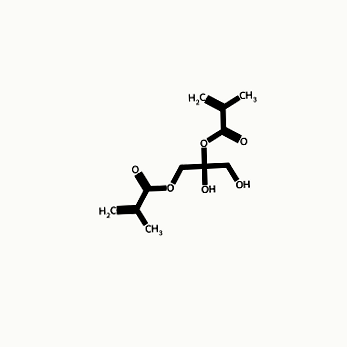 C=C(C)C(=O)OCC(O)(CO)OC(=O)C(=C)C